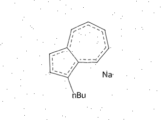 CCCCc1ccc2cccccc1-2.[Na]